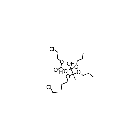 CCCOC(C)(OCCC)C(O)(OCCC)O[PH](=O)OCCCl.CCCl